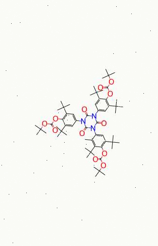 Cc1c(-n2c(=O)n(-c3cc(C(C)(C)C)c(OC(=O)OC(C)(C)C)c(C(C)(C)C)c3)c(=O)n(-c3cc(C(C)(C)C)c(OC(=O)OC(C)(C)C)c(C(C)(C)C)c3)c2=O)cc(C(C)(C)C)c(OC(=O)OC(C)(C)C)c1C(C)(C)C